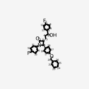 O=C1[C@H](CC[C@@H](O)c2ccc(F)cc2)[C@@H](c2ccc(OCc3ccccc3)cc2)N1c1ccc(F)cc1